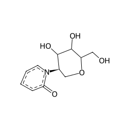 O=c1ccccn1[C@@H]1COC(CO)C(O)C1O